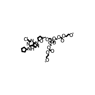 COCCOC(=O)OCOP(=O)(COC[C@@H]1CCC(n2ncc3c(NC4CCCC4)nc(Cl)nc32)O1)OCOC(=O)OCCOC